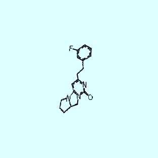 O=c1nc(CCc2cccc(F)c2)cc2n1CC1CCCN21